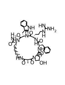 C[C@H]1C(=O)NCCCC[C@@H](C(N)=O)NC(=O)[C@H](Cc2c[nH]c3ccccc23)NC(=O)[C@H](CCCNC(=N)N)NC(=O)[C@@H](Cc2ccccc2)NC(=O)[C@@H]2C[C@@H](O)CN2C1=O